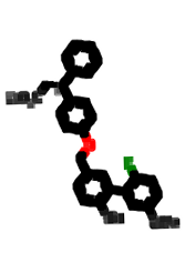 CCOC(=O)C[C@H](c1ccccc1)c1ccc(OCc2ccc(C(C)(C)C)c(-c3cc(OC)ccc3F)c2)cc1